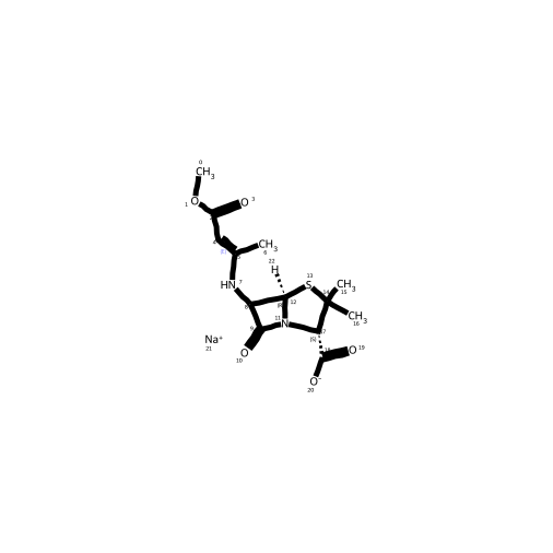 COC(=O)/C=C(\C)NC1C(=O)N2[C@@H]1SC(C)(C)[C@@H]2C(=O)[O-].[Na+]